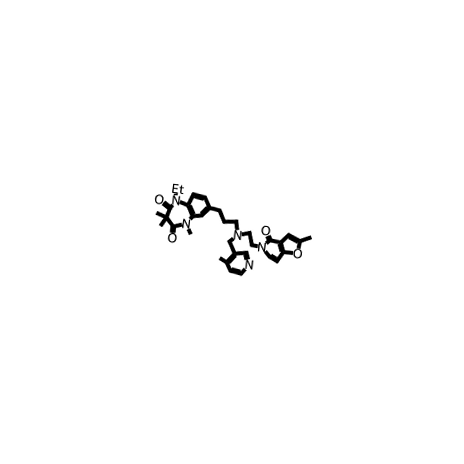 CCN1C(=O)C(C)(C)C(=O)N(C)c2cc(CCCN(CCn3ccc4oc(C)cc4c3=O)Cc3cnccc3C)ccc21